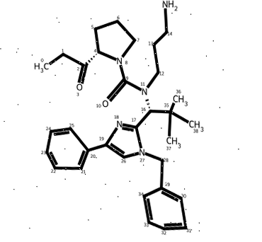 CCC(=O)[C@@H]1CCCN1C(=O)N(CCCN)[C@@H](c1nc(-c2ccccc2)cn1Cc1ccccc1)C(C)(C)C